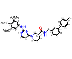 COc1cc(Nc2nccc(N3CCC[C@H](C(=O)NCc4cccc(-c5ccc(C)cc5)c4)C3)n2)cc(OC)c1OC